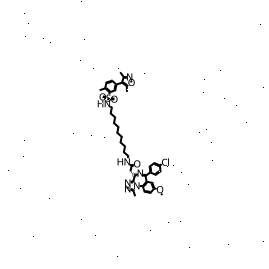 COc1ccc2c(c1)C(c1ccc(Cl)cc1)=N[C@@H](CC(=O)NCCCCCCCCCCCNS(=O)(=O)c1cc(-c3c(C)noc3C)ccc1C)c1nnc(C)n1-2